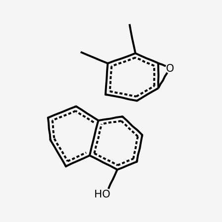 Cc1ccc2c(c1C)O2.Oc1cccc2ccccc12